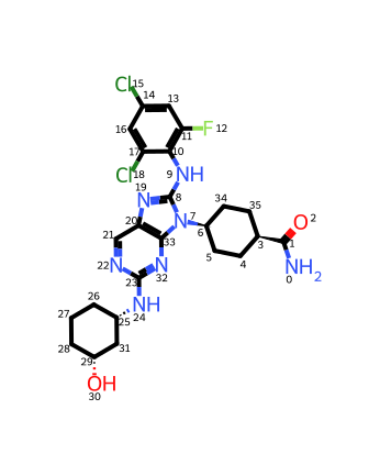 NC(=O)[C@H]1CC[C@@H](n2c(Nc3c(F)cc(Cl)cc3Cl)nc3cnc(N[C@H]4CCC[C@@H](O)C4)nc32)CC1